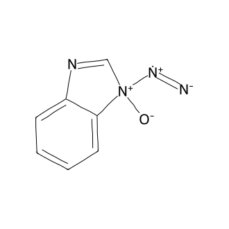 [N-]=[N+][N+]1([O-])C=Nc2ccccc21